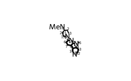 CNC1CCN(c2ccc3c4cnccc4n(C)c3n2)CC1